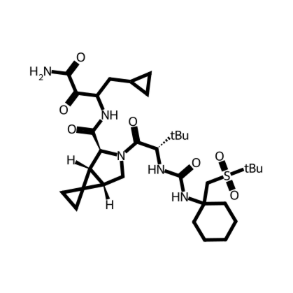 CC(C)(C)[C@H](NC(=O)NC1(CS(=O)(=O)C(C)(C)C)CCCCC1)C(=O)N1C[C@H]2[C@@H]([C@H]1C(=O)NC(CC1CC1)C(=O)C(N)=O)C21CC1